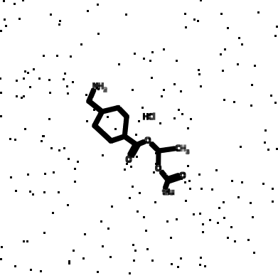 CC(OC(=O)C1CCC(CN)CC1)OC(=O)C(C)(C)C.Cl